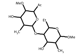 CCC1OC(OC)C(C)C(O)C1OC1OC(C(C)=O)C(OC)C(O)C1C